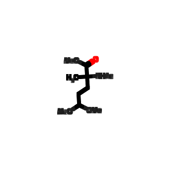 COC(=O)C(C)(CCC(OC)OC)NC(C)=O